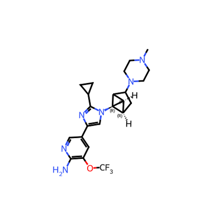 CN1CCN(C2C[C@@H]3[C@@H]4C2[C@@]34n2cc(-c3cnc(N)c(OC(F)(F)F)c3)nc2C2CC2)CC1